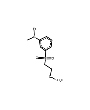 CCN(C)c1cccc(S(=O)(=O)CCOS(=O)(=O)O)c1